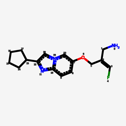 NC/C(=C/F)COc1ccc2nc(C3CCCC3)cn2c1